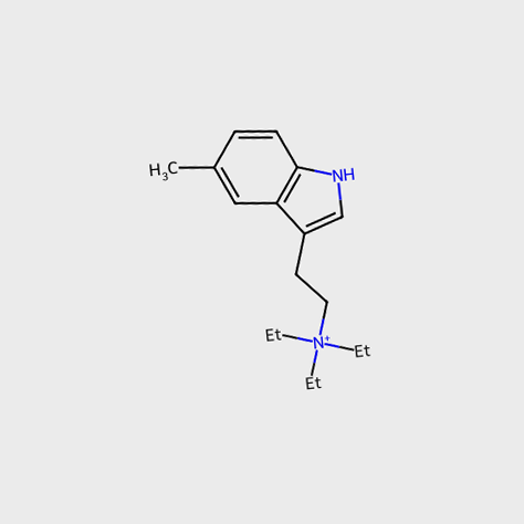 CC[N+](CC)(CC)CCc1c[nH]c2ccc(C)cc12